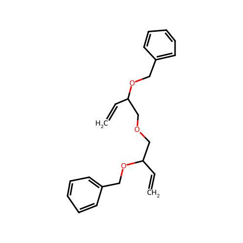 C=CC(COCC(C=C)OCc1ccccc1)OCc1ccccc1